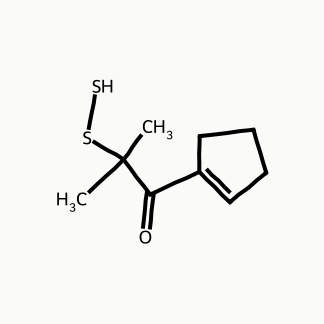 CC(C)(SS)C(=O)C1=CCCC1